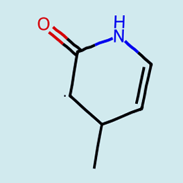 CC1[CH]C(=O)NC=C1